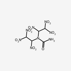 NC(=O)N(C(C([N+](=O)[O-])[N+](=O)[O-])[N+](=O)[O-])C(C([N+](=O)[O-])[N+](=O)[O-])[N+](=O)[O-]